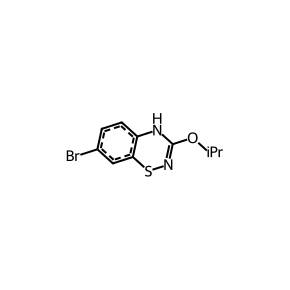 CC(C)OC1=NSc2cc(Br)ccc2N1